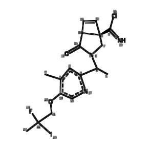 Cc1cc(C(C)N2C[C@@]3(C(=N)Cl)C=CC3C2=O)ncc1OCC(C)(F)I